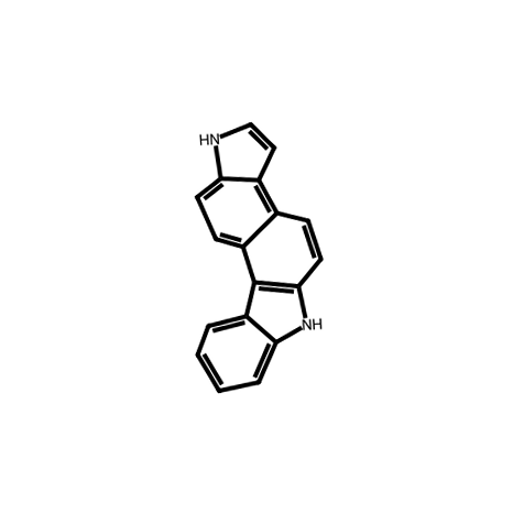 c1ccc2c(c1)[nH]c1ccc3c4cc[nH]c4ccc3c12